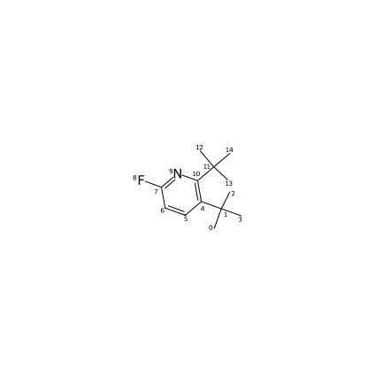 CC(C)(C)c1ccc(F)nc1C(C)(C)C